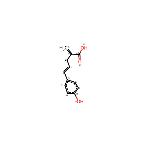 C=C(CC=Cc1ccc(O)cc1)C(=O)O